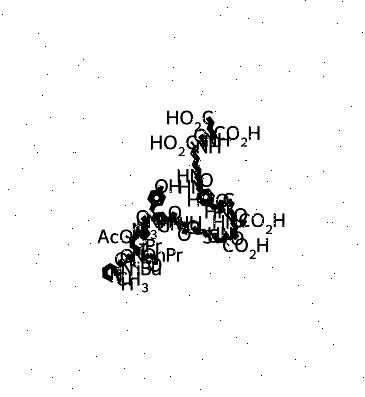 CCCC(=O)OCN(C(=O)[C@@H](NC(=O)[C@H]1CCCCN1C)C(C)CC)[C@H](C[C@@H](OC(C)=O)c1nc(C(=O)N[C@@H](Cc2ccc(O)cc2)C[C@H](C)C(=O)NNC(=O)OCCSSC[C@H](NC(=O)[C@H](CC(=O)O)NC(=O)[C@H](CC(=O)O)NC(=O)Cc2ccc(NC(=O)NCCCC[C@H](NC(=O)N[C@@H](CCC(=O)O)C(=O)O)C(=O)O)cc2)C(=O)O)cs1)C(C)C